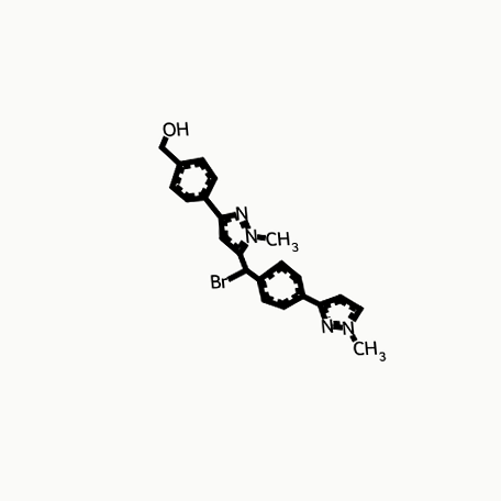 Cn1ccc(-c2ccc(C(Br)c3cc(-c4ccc(CO)cc4)nn3C)cc2)n1